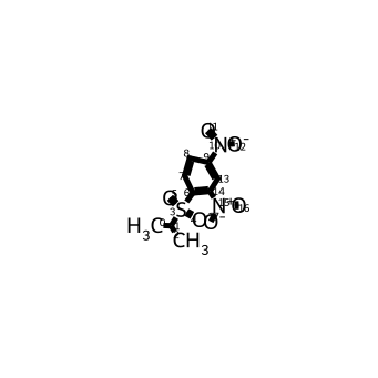 CC(C)S(=O)(=O)c1ccc([N+](=O)[O-])cc1[N+](=O)[O-]